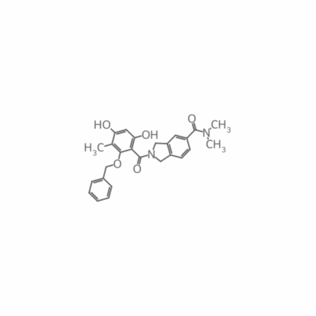 Cc1c(O)cc(O)c(C(=O)N2Cc3ccc(C(=O)N(C)C)cc3C2)c1OCc1ccccc1